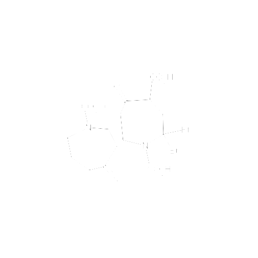 CCC1(CC)CC(C(=O)O)C(=O)CCN1C(=O)O.CCOC(=O)N1CCCC(=O)CC1